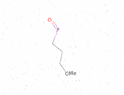 COCCCP=O